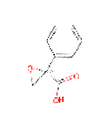 O=C(O)[C@]1(c2ccccc2)CO1